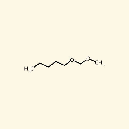 CCCCCO[CH]OC